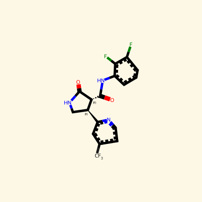 O=C1NC[C@H](c2cc(C(F)(F)F)ccn2)[C@H]1C(=O)Nc1cccc(F)c1F